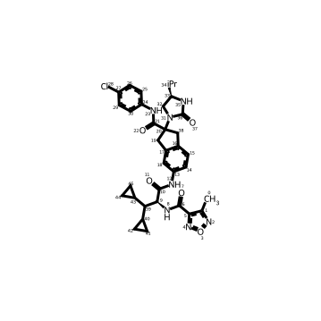 Cc1nonc1C(=O)N[C@H](C(=O)Nc1ccc2c(c1)CC(C(=O)Nc1ccc(Cl)cc1)(N1C[C@@H](C(C)C)NC1=O)C2)C(C1CC1)C1CC1